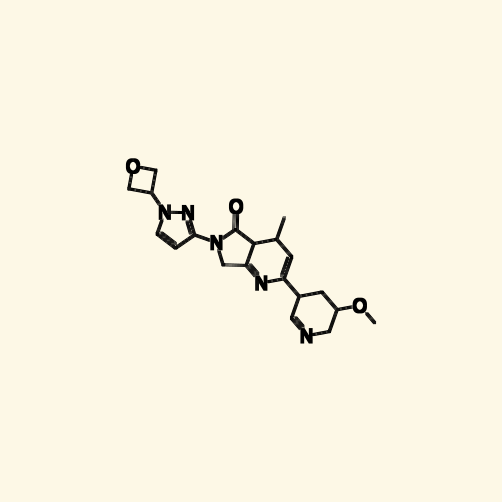 COC1CN=CC(C2=CC(C)C3C(=O)N(c4ccn(C5COC5)n4)CC3=N2)C1